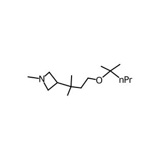 CCCC(C)(C)OCCC(C)(C)C1CN(C)C1